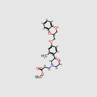 Cc1cc(OCC2COc3ccccc3O2)ccc1C1CN(CCC(=O)OC(C)(C)C)CCO1